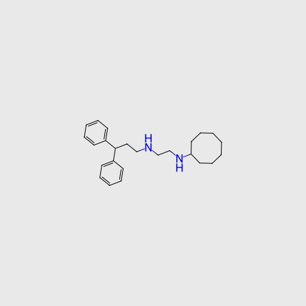 c1ccc(C(CCNCCNC2CCCCCCC2)c2ccccc2)cc1